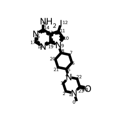 CN1CCN(C2CCC(n3cc(I)c4c(N)ncnc43)CC2)CC1=O